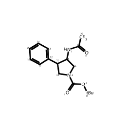 CC(C)(C)OC(=O)N1CC(NC(=O)C(F)(F)F)C(c2ccccc2)C1